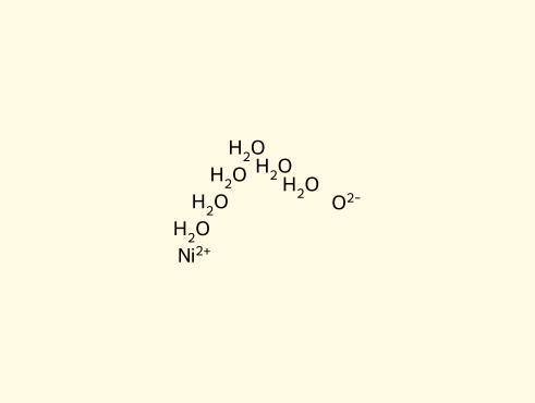 O.O.O.O.O.O.[Ni+2].[O-2]